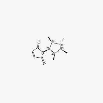 C[C@@H]1[C@@H](C)[C@H](C)[C@H](N2C(=O)C=CC2=O)[C@@H]1C